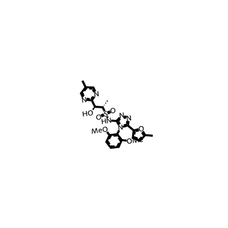 COc1cccc(OC)c1-n1c(NS(=O)(=O)[C@@H](C)[C@@H](O)c2ncc(C)cn2)nnc1-c1ccc(C)o1